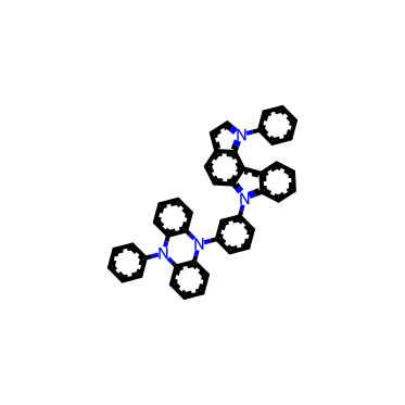 c1ccc(N2c3ccccc3N(c3cccc(-n4c5ccccc5c5c6c(ccc54)ccn6-c4ccccc4)c3)c3ccccc32)cc1